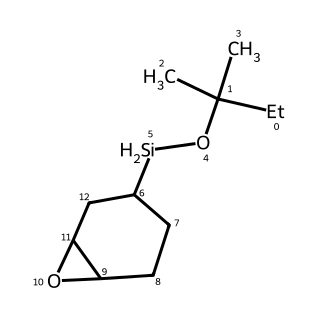 CCC(C)(C)O[SiH2]C1CCC2OC2C1